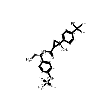 CC[C@@H](NC(=O)C1C[C@]1(C)c1ccc(C(F)(F)F)cc1)c1ccc(NS(C)(=O)=O)cc1